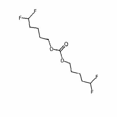 O=C(OCCCCC(F)F)OCCCCC(F)F